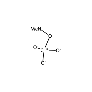 CNO[Cl+3]([O-])([O-])[O-]